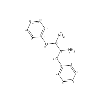 NC(Oc1ccccc1)C(N)Oc1ccccc1